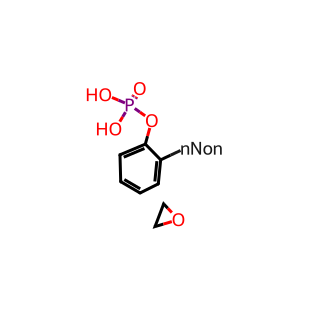 C1CO1.CCCCCCCCCc1ccccc1OP(=O)(O)O